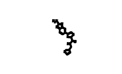 Nc1nc2ccc(-c3csc(C(=O)NCc4ccsc4)c3)cn2n1